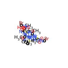 [C-]#[N+]c1cc(/C=C(\C(C)=O)C(=O)Nc2cccc(Br)c2)sc1/N=N/c1cc(OC)c(N(CC)CC)cc1Nc1nc(Nc2cc(N(CC)CC)c(OC)cc2/N=N/c2sc(/C=C(/C(C)=O)C(=O)Nc3cccc(Br)c3)c(S(=O)(=O)O)c2C#N)nc(SCc2ccccc2)n1